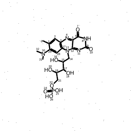 Cc1cc2nc3c(=O)[nH]c(=O)nc-3n(CC(O)C(O)C(O)COP(=O)(O)O)c2cc1N(C)C